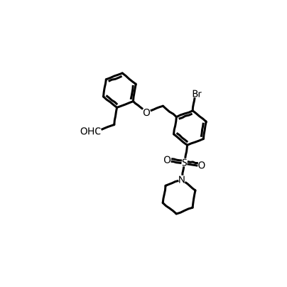 O=CCc1ccccc1OCc1cc(S(=O)(=O)N2CCCCC2)ccc1Br